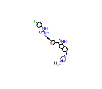 CN1CCN(Cc2ccc3c(c2)Cc2c(-c4csc(C#CCNC(=O)Nc5ccc(F)cc5)c4)n[nH]c2-3)CC1